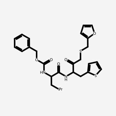 CC(C)CC(NC(=O)OCc1ccccc1)C(=O)NC(Cc1cccs1)C(=O)CSCc1ccco1